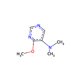 COc1n[c]ncc1N(C)C